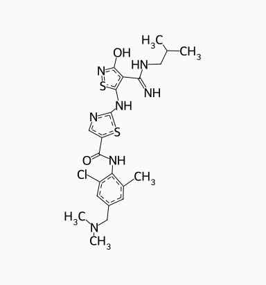 Cc1cc(CN(C)C)cc(Cl)c1NC(=O)c1cnc(Nc2snc(O)c2C(=N)NCC(C)C)s1